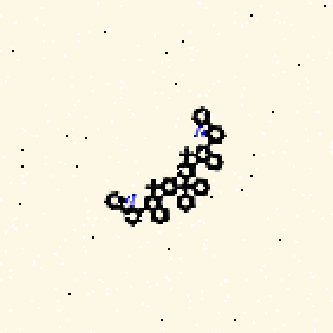 Cn1c2ccccc2c2cccc(-c3cc4c(c5ccccc35)-c3cc5c(cc3C4(C)C)-c3cc4c(cc3C5(c3ccccc3)c3ccccc3)-c3c(cc(-c5cccc6c7ccccc7n(C)c56)c5ccccc35)C4(C)C)c21